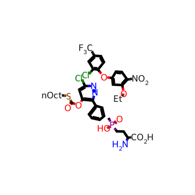 CCCCCCCCSC(=O)Oc1cc(Cl)nnc1-c1ccccc1.CCOc1cc(Oc2ccc(C(F)(F)F)cc2Cl)ccc1[N+](=O)[O-].CP(=O)(O)CCC(N)C(=O)O